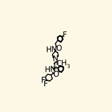 C[C@@H](C[C@H](NC(=O)C1CCC(F)(F)CC1)c1ccccc1)N1CCC(NC(=O)Cc2ccc(F)cc2)CC1